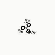 O.O.O=S(=O)([O-])c1cccc(P(c2ccccc2)c2cccc(S(=O)(=O)[O-])c2)c1.[K+].[K+]